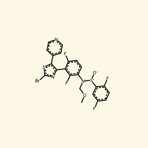 COCN(c1ccc(F)c(-c2nc(Br)sc2-c2ccncc2)c1F)[S+]([O-])c1cc(F)ccc1F